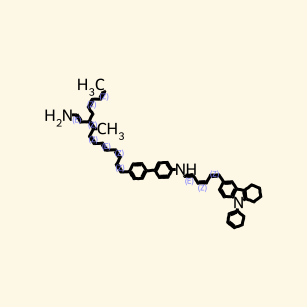 C/C=C\C=C/CC(/C=C/N)=C(C)/C=C\C=C\C=C/C=C\c1ccc(-c2ccc(N/C=C/C=C\C=C/c3ccc4c(c3)c3c(n4C4=CC=CCC4)CCCC3)cc2)cc1